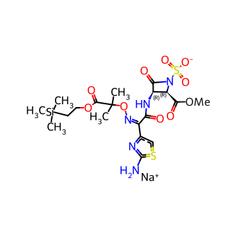 COC(=O)[C@H]1[C@@H](NC(=O)C(=NOC(C)(C)C(=O)OCC[Si](C)(C)C)c2csc(N)n2)C(=O)N1S(=O)(=O)[O-].[Na+]